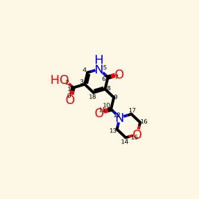 O=C(O)c1c[nH]c(=O)c(CC(=O)N2CCOCC2)c1